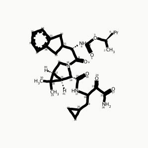 CC(C)[C@@H](C)OC(=O)N[C@H](C(=O)N1C[C@H]2[C@@H]([C@H]1C(=O)NC(CC1CC1)C(=O)C(N)=O)C2(C)C)C1Cc2ccccc2C1